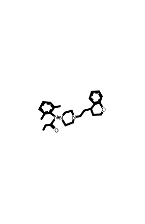 CCC(=O)N(c1c(C)cccc1C)N1CCN(CCC2CCOc3ccccc32)CC1